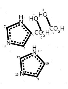 O=C(O)O.O=C(O)O.c1c[nH]cn1.c1c[nH]cn1